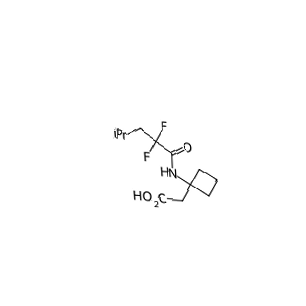 CC(C)CC(F)(F)C(=O)NC1(CC(=O)O)CCC1